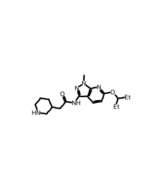 CCC(CC)Oc1ccc2c(NC(=O)CC3CCCNC3)nn(C)c2n1